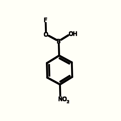 O=[N+]([O-])c1ccc(B(O)OF)cc1